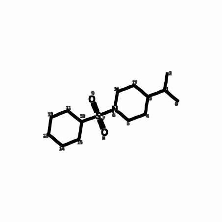 CC(C)C1CCN(S(=O)(=O)C2CCCCC2)CC1